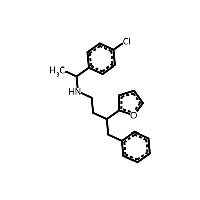 CC(NCCC(Cc1ccccc1)c1ccco1)c1ccc(Cl)cc1